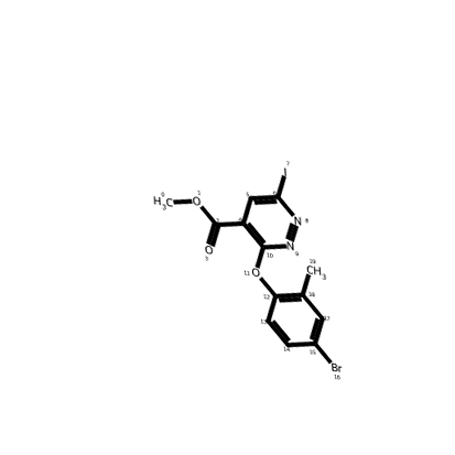 COC(=O)c1cc(I)nnc1Oc1ccc(Br)cc1C